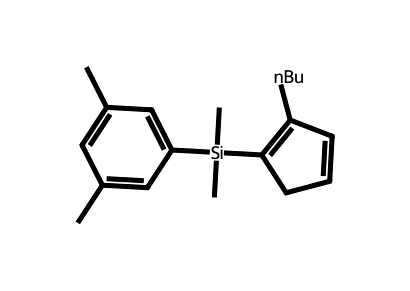 CCCCC1=C([Si](C)(C)c2cc(C)cc(C)c2)CC=C1